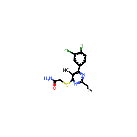 CC(C)Cc1nc(SCC(N)=O)c(C#N)c(-c2ccc(Cl)c(Cl)c2)n1